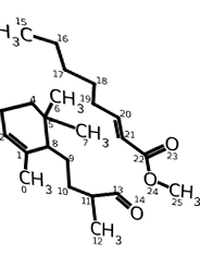 CC1=CCCC(C)(C)C1CCC(C)C=O.CCCCCC=CC(=O)OC